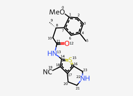 COc1ccc(C)cc1[C@@H](C)CC(=O)Nc1sc2c(c1C#N)CCNC2